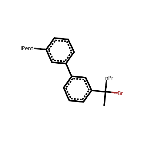 CCCC(C)c1cccc(-c2cccc(C(C)(Br)CCC)c2)c1